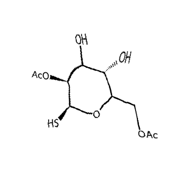 CC(=O)OCC1O[C@@H](S)[C@@H](OC(C)=O)C(O)[C@@H]1O